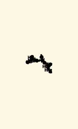 Cc1ccc(-c2nn(-c3ccc(N=Nc4c(O)c(OCNc5ccccc5C)cc5ccccc45)cc3)cc2C=Cc2ccc(N=Nc3c(O)c(C(=O)Nc4ccccc4C)cc4ccccc34)cc2)cc1